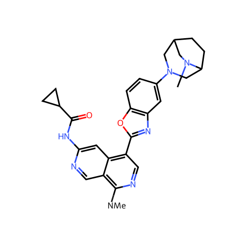 CNc1ncc(-c2nc3cc(N4CC5CCC(C4)N(C)C5)ccc3o2)c2cc(NC(=O)C3CC3)ncc12